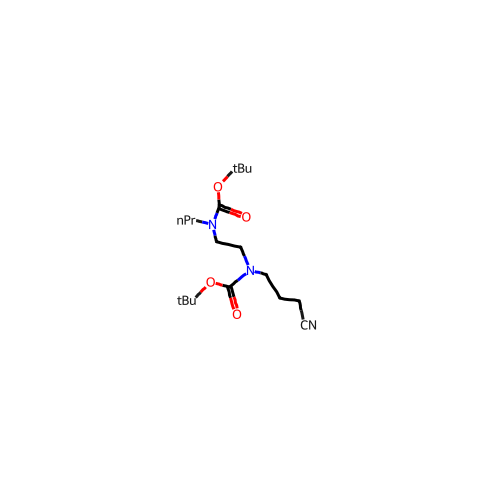 CCCN(CCN(CCCC#N)C(=O)OC(C)(C)C)C(=O)OC(C)(C)C